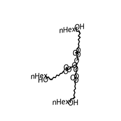 CCCCCCC(O)C/C=C\CCCCCCCOC(=O)OCCOCC(COCCOC(=O)OCCCCCCC/C=C\CC(O)CCCCCC)OCCOC(=O)OCCCCCCC/C=C\CC(O)CCCCCC